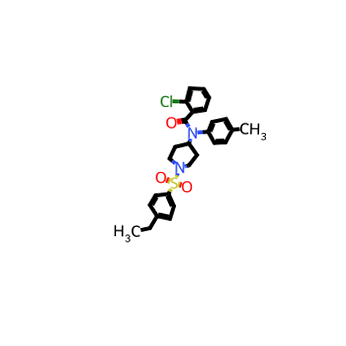 CCc1ccc(S(=O)(=O)N2CCC(N(C(=O)c3ccccc3Cl)c3ccc(C)cc3)CC2)cc1